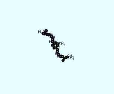 Cc1ccccc1N(c1ccc2cc3c(cc2c1)oc1cc2oc4cc5cc(N(c6ccccc6C)c6ccc(CC(C)c7ccc(N(c8ccccc8)c8ccc9cc%10c(cc9c8)oc8cc9oc%11cc%12cc(N(c%13ccccc%13)c%13ccc(C(C)C)cc%13)ccc%12cc%11c9cc8%10)cc7)cc6C)ccc5cc4c2cc13)c1ccccc1C